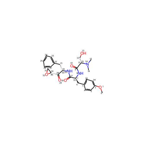 COc1ccc(C[C@H](NC(=O)[C@H](CO)N(C)C)C(=O)N[C@@H](Cc2ccccc2)C(=O)[C@H]2CO2)cc1